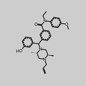 C=CCN1C[C@H](C)N(C(c2cccc(O)c2)c2cccc(C(=O)N(CC)c3ccc(OC)cc3)c2)C[C@H]1C